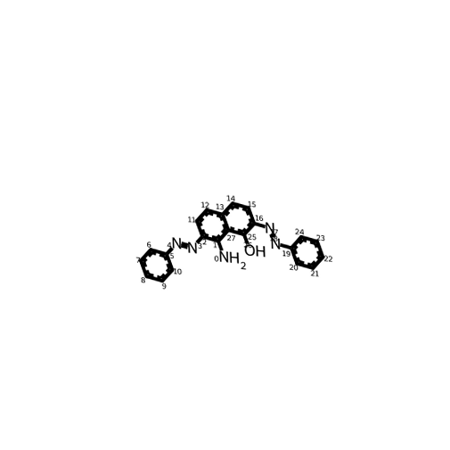 Nc1c(N=Nc2ccccc2)ccc2ccc(N=Nc3ccccc3)c(O)c12